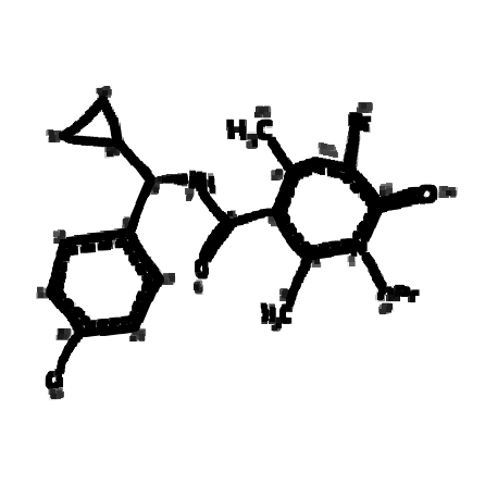 CCCn1c(C)c(C(=O)N[C@H](c2ccc(Cl)cc2)C2CC2)c(C)c(Br)c1=O